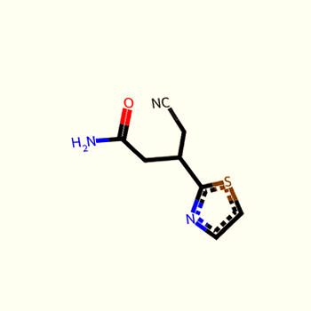 N#CCC(CC(N)=O)c1nccs1